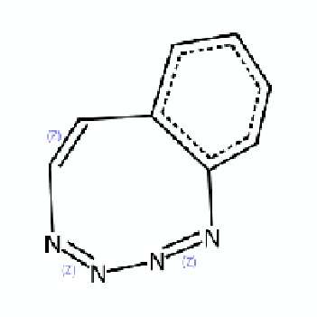 C1=C/c2ccccc2\N=N/N=N\1